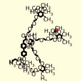 CC[C@H]1C[C@@H](OCCOCCOCCNC(=O)C(Cc2ccc(-c3ccc(OP(OCCC#N)N(C(C)C)C(C)C)cc3)cc2)N(CC(=O)NCCOCCOCCO[C@@H]2O[C@H](COC(C)=O)[C@H](C)[C@H](C)[C@H]2C)CC(=O)NCCOCCOCCO[C@@H]2O[C@H](CC)[C@H](C)[C@H](OC(C)=O)[C@H]2NC(C)=O)[C@H](NC(C)=O)[C@@H](OC(C)=O)[C@H]1C